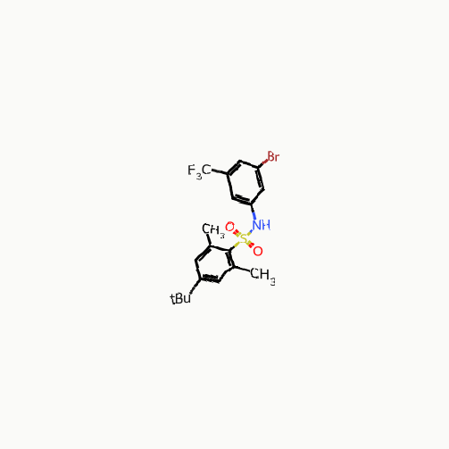 Cc1cc(C(C)(C)C)cc(C)c1S(=O)(=O)Nc1cc(Br)cc(C(F)(F)F)c1